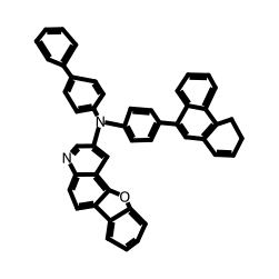 C1=Cc2cc(-c3ccc(N(c4ccc(-c5ccccc5)cc4)c4cnc5ccc6c7ccccc7oc6c5c4)cc3)c3ccccc3c2CC1